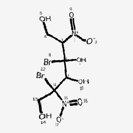 O=[N+]([O-])C(CO)C(O)(Br)C(O)C(Br)(CO)[N+](=O)[O-]